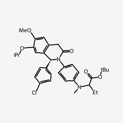 CCC(C(=O)OC(C)(C)C)N(C)c1ccc(N2C(=O)Cc3cc(OC)c(OC(C)C)cc3[C@@H]2c2ccc(Cl)cc2)cc1